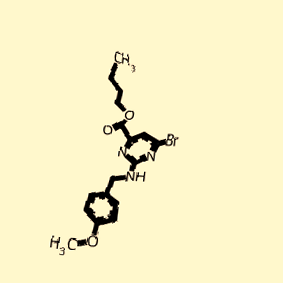 CCCCOC(=O)c1cc(Br)nc(NCc2ccc(OC)cc2)n1